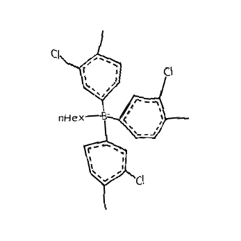 CCCCCC[B-](c1ccc(C)c(Cl)c1)(c1ccc(C)c(Cl)c1)c1ccc(C)c(Cl)c1